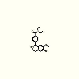 CCN(CC)C(=O)c1ccc(C2NCCc3cc(Br)c(OC)cc32)cc1